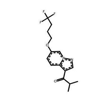 CC(C)C(=O)c1cnn2cc(OCCCC(F)(F)F)ccc12